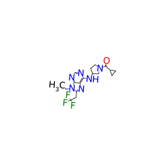 CCn1c(CC(F)(F)F)nc2c(N[C@H]3CCN(C(=O)C4CC4)C3)ncnc21